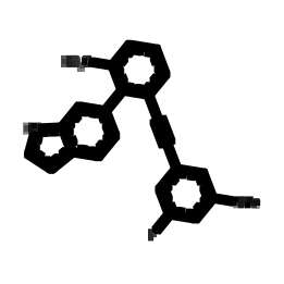 CNc1cc(F)cc(C#Cc2cccc(C(=O)O)c2-c2ccc3cc[nH]c3c2)c1